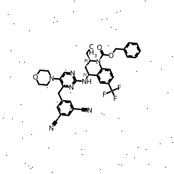 CC[C@@H]1C[C@H](Nc2ncc(N3CCOCC3)c(Cc3cc(C#N)cc(C#N)c3)n2)c2cc(C(F)(F)F)ccc2N1C(=O)OCc1ccccc1